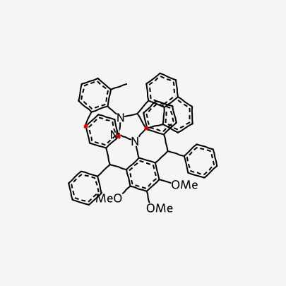 COc1c(OC)c(C(c2ccccc2)c2ccccc2)c([N]2[Ni][N](c3c(C)cccc3C)C3c4cccc5cccc(c45)C32)c(C(c2ccccc2)c2ccccc2)c1OC